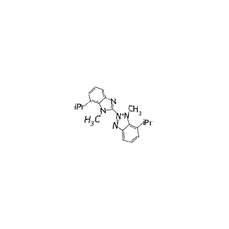 CC(C)c1cccc2nc(-[n+]3nc4cccc(C(C)C)c4n3C)n(C)c12